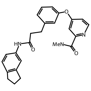 CNC(=O)c1cc(Oc2cccc(CCC(=O)Nc3ccc4c(c3)CCC4)c2)ccn1